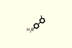 Bc1ccc(-c2cccc(C)c2)cc1